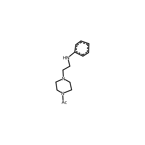 CC(=O)N1CCN(CCNc2ccccc2)CC1